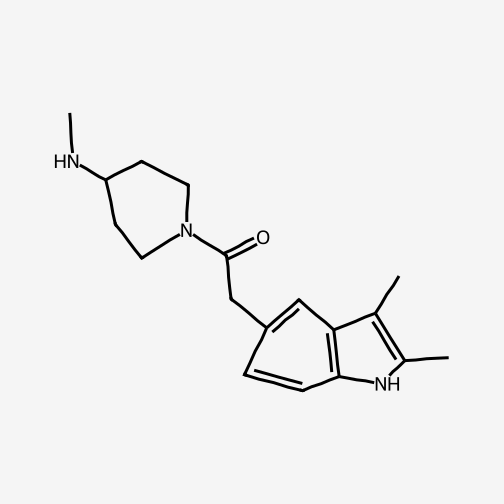 CNC1CCN(C(=O)Cc2ccc3[nH]c(C)c(C)c3c2)CC1